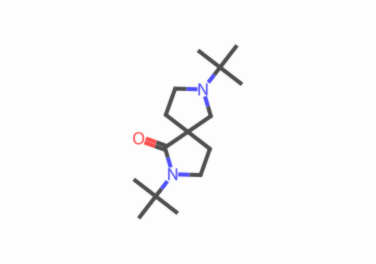 CC(C)(C)N1CCC2(CCN(C(C)(C)C)C2=O)C1